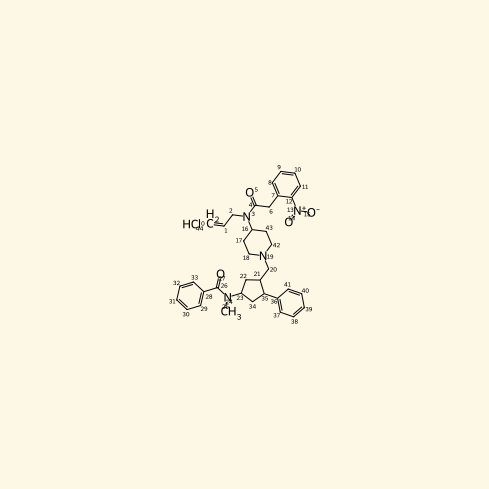 C=CCN(C(=O)Cc1ccccc1[N+](=O)[O-])C1CCN(CC2CC(N(C)C(=O)c3ccccc3)CC2c2ccccc2)CC1.Cl